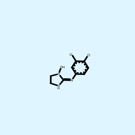 ON1CCNC1=Nc1ccc(Cl)c(Cl)c1